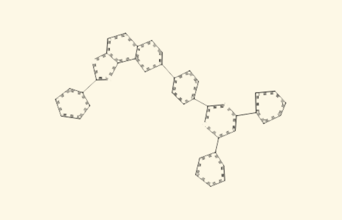 c1ccc(-c2cc(-c3ccccc3)nc(-c3ccc(-c4ccc5ccc6sc(-c7ccccc7)nc6c5c4)cc3)n2)cc1